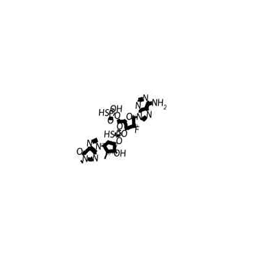 C[C@@H]1[C@H](O)[C@@H](OP(=O)(S)O[C@@H]2C(COP(=O)(O)S)O[C@@H](n3cnc4c(N)ncnc43)[C@@H]2F)C[C@H]1n1cnc2c(=O)n(C)cnc21